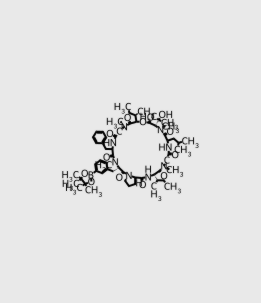 CCC(C)[C@@H]1NC(=O)[C@@H]2CCCN2C(=O)[C@H](Cc2cccc(B3OC(C)(C)C(C)(C)O3)c2)N(C)C(=O)C(Cc2ccccc2)NC(=O)CN(C)C(=O)C([C@H](C)CC)OC(=O)[C@H](C(C)(C)O)N(C)C(=O)C(CC(C)C)NC(=O)CN(C)C1=O